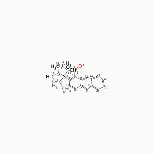 CC(=O)c1c([Si](C(C)C)(C(C)C)C(C)C)ccc2cc3ccccc3cc12